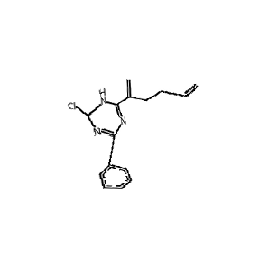 C=CCCC(=C)C1=NC(c2ccccc2)=NC(Cl)N1